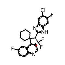 Fc1ccc2nccc(C3([C@@H](c4nc5cc(Cl)c(F)cc5[nH]4)C(F)(F)F)CCCCC3)c2c1